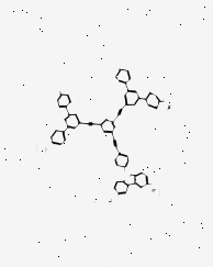 O=COc1ccc(-c2cc(C#Cc3cc(C#Cc4ccc(-n5c6ccc(OC=O)cc6c6cc(OC=O)ccc65)cc4)cc(C#Cc4cc(-c5ccc(OC=O)cc5)cc(-c5ccc(C(=O)O)cc5)c4)c3)cc(-c3ccc(C(=O)O)cc3)c2)cc1